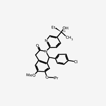 CC[C@](C)(O)c1ccc(N2C(=O)Cc3cc(OC)c(OC(C)C)cc3C2c2ccc(Cl)cc2)nc1